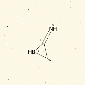 N=C1BC1